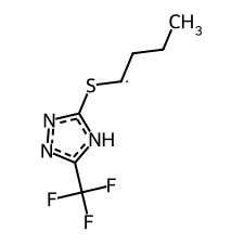 CCC[CH]Sc1nnc(C(F)(F)F)[nH]1